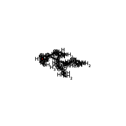 CCCCCC[C@H](NCNC(C)(C)C(=O)Oc1ccc(NC(=N)N)cc1)C(=O)NCCCC[C@H](NCNC(C)(C)C(=O)Oc1ccc(NC(=N)N)cc1)C(=O)NCCCC[C@H](CCCC(C)(C)C(=O)Oc1ccc(NC(=N)N)cc1)C(=O)OC1=CC[C@@]2(C)[C@H]3Cc4ccc(O)c5c4[C@@]2(CCN3C)[C@H]1O5